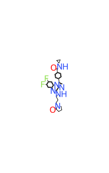 O=C(NC1CC1)c1ccc(-c2cnc3c(NCCCN4CCCC4=O)nc4cc(F)c(F)cc4n23)cc1